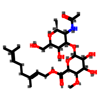 COC1C(C(=O)OC/C=C(\C)CCC=C(C)C)OC(OC2C(O)C(CO)O[C@H](C)C2NC(C)=O)C(O)C1O